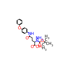 CC(C)(C)OC(=O)N(N)C(CCC(=O)Nc1ccc(Oc2ccccc2)cc1)C(=O)O